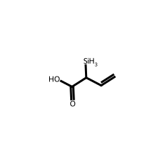 C=CC([SiH3])C(=O)O